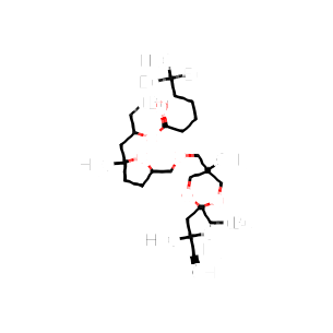 C#CC(C)(C)CC1(CC(C)(C)C)OCC(C)(COCC2CCC(C)(CC(CC(C)(C)C)OC(=O)CCCCC(C)(CC)CC)O2)CO1